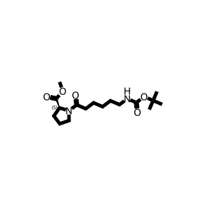 COC(=O)[C@@H]1CCCN1C(=O)CCCCCNC(=O)OC(C)(C)C